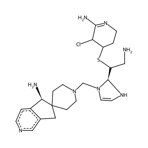 NCC(SC1CCN=C(N)C1Cl)[C@H]1NC=CN1CN1CCC2(CC1)Cc1cnccc1[C@H]2N